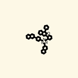 c1ccc(-c2c3ccccc3cc3c2oc2cccc(-c4nc(-c5ccc(-c6ccc7ccccc7c6)cc5)nc(-c5ccc6ccccc6c5)n4)c23)cc1